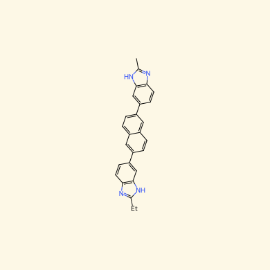 CCc1nc2ccc(-c3ccc4cc(-c5ccc6nc(C)[nH]c6c5)ccc4c3)cc2[nH]1